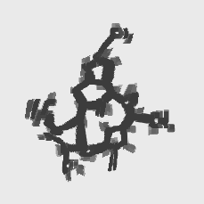 Cc1nn(C)cc1-c1cc2nn(C)cc2c(OC(C)C2CNC(=O)C2)n1